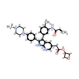 C=CC(=O)Nc1cc(-c2c(-c3ccc(N4CCN(C)CC4)cc3)[nH]c3ncc(CC(=O)OC4COC4)cc23)ccc1C